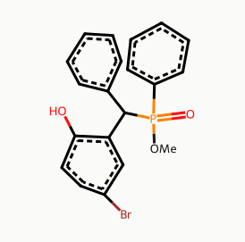 COP(=O)(c1ccccc1)C(c1ccccc1)c1cc(Br)ccc1O